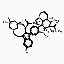 CC[C@]1(O)C[C@H]2CN(CCc3c([nH]c4ccc(C#N)cc34)[C@@](C(=O)OC)(c3cc4c(cc3OC)N(C)[C@H]3[C@@](O)(C(=O)OC)[C@H](OC(C)=O)[C@]5(CC)C=CCN6CC[C@]43[C@@H]65)C2)C1